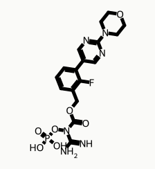 N=C(N)N(OP(=O)(O)O)C(=O)OCc1cccc(-c2cnc(N3CCOCC3)nc2)c1F